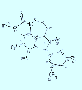 C=Cc1cc2c(cc1C(F)(F)F)N(C(=O)OC(C)C)CCCC2N(Cc1cc(C(F)(F)F)cc(C(F)(F)F)c1)C(C)=O